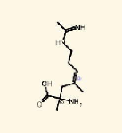 CC(=N)NCC/C=C(/C)C[C@](C)(N)C(=O)O